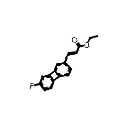 CCOC(=O)C=Cc1ccc2c(c1)-c1cc(F)ccc1-2